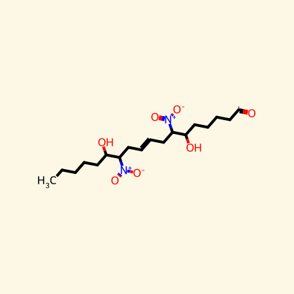 CCCCCC(O)C(CC=CCC(C(O)CCCC[C]=O)[N+](=O)[O-])[N+](=O)[O-]